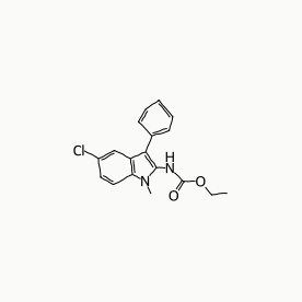 CCOC(=O)Nc1c(-c2ccccc2)c2cc(Cl)ccc2n1C